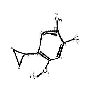 CCc1cc(OC(C)C)c(C2CC2)cc1O